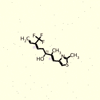 C=C/C(=C/C[C@H](O)/C(C)=C/c1csc(C)n1)C(F)(F)F